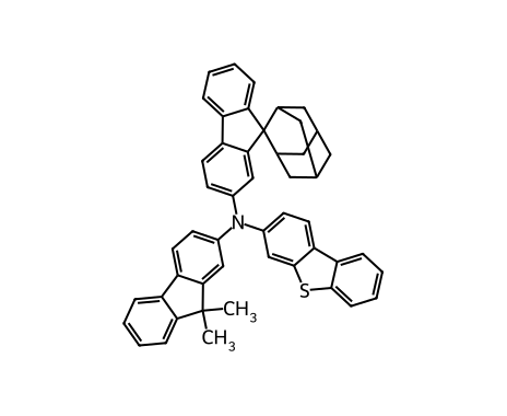 CC1(C)c2ccccc2-c2ccc(N(c3ccc4c(c3)C3(c5ccccc5-4)C4CC5CC(C4)CC3C5)c3ccc4c(c3)sc3ccccc34)cc21